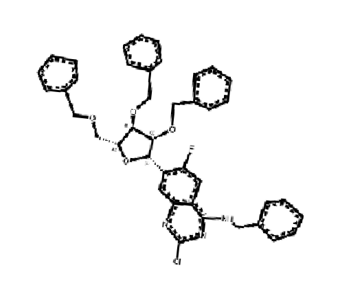 Fc1cc2c(NCc3ccccc3)nc(Cl)nc2cc1[C@@H]1O[C@H](COCc2ccccc2)[C@@H](OCc2ccccc2)[C@H]1OCc1ccccc1